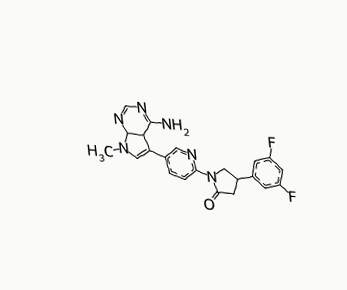 CN1C=C(c2ccc(N3CC(c4cc(F)cc(F)c4)CC3=O)nc2)C2C(N)=NC=NC21